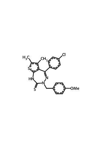 COc1ccc(CN2N=C(c3ccc(Cl)cc3)c3c(sc(C)c3C)NC2=S)cc1